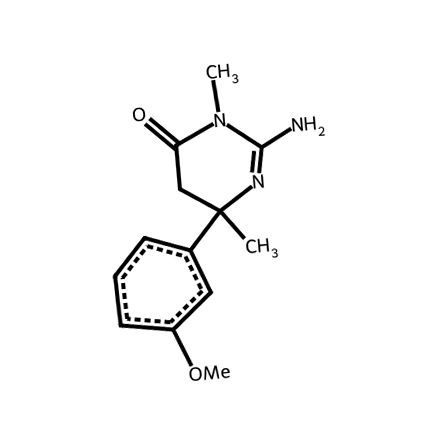 COc1cccc(C2(C)CC(=O)N(C)C(N)=N2)c1